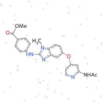 COC(=O)c1ccc(Nc2nc3cc(Oc4ccnc(NC(C)=O)c4)ccc3n2C)cc1